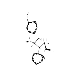 COC(=O)[C@@]1(C)N[C@@H](c2ccc(OC)cc2)[C@@](C)([N+](=O)[O-])[C@@H]1c1ccccc1